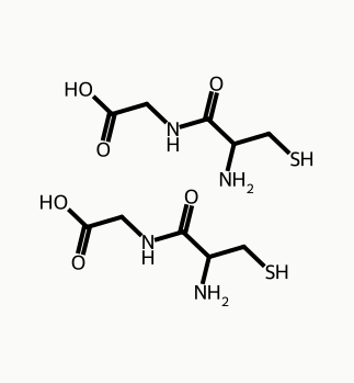 NC(CS)C(=O)NCC(=O)O.NC(CS)C(=O)NCC(=O)O